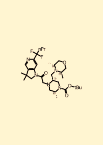 CCCC(F)(F)c1cc2c(cn1)C(C)(C)CN2C(=O)CN1C[C@@H](C)N(C(=O)OC(C)(C)C)C[C@@H]1CN1[C@H](C)COC[C@H]1C